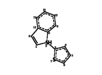 C1=C[SH](c2cccs2)c2ccccc21